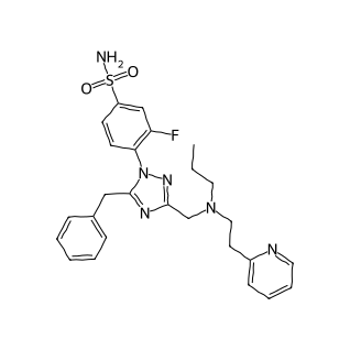 CCCN(CCc1ccccn1)Cc1nc(Cc2ccccc2)n(-c2ccc(S(N)(=O)=O)cc2F)n1